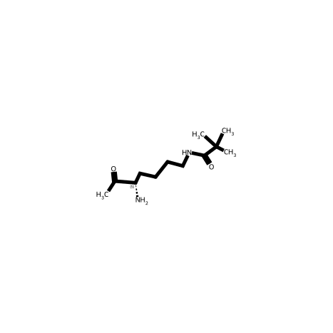 CC(=O)[C@@H](N)CCCCNC(=O)C(C)(C)C